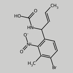 CC=CC(NC(=O)O)c1ccc(Br)c(C)c1[N+](=O)[O-]